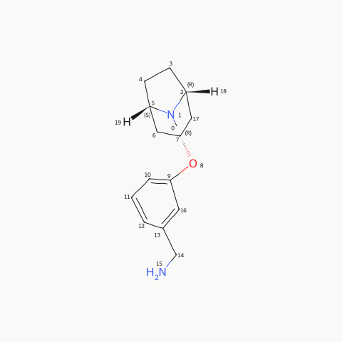 CN1[C@@H]2CC[C@H]1C[C@@H](Oc1cccc(CN)c1)C2